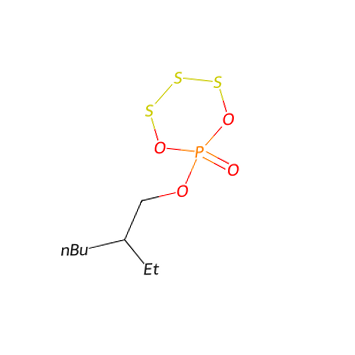 CCCCC(CC)COP1(=O)OSSSO1